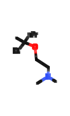 CCCC(C)(CC)OCCN(C)C